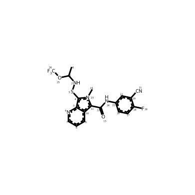 CC(NSc1c2ncccc2c(C(=O)Nc2ccc(F)c(C#N)c2)n1C)OC(F)(F)F